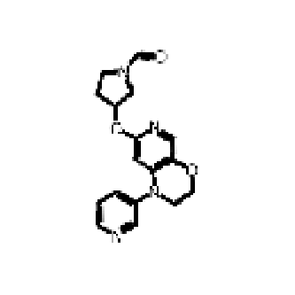 O=CN1CCC(Oc2cc3c(cn2)OCCN3c2cccnc2)C1